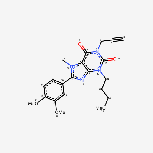 C#CCn1c(=O)c2c(nc(-c3ccc(OC)c(OC)c3)n2C)n(CCCOC)c1=O